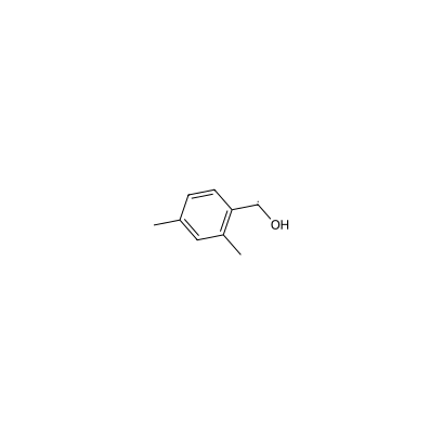 Cc1ccc([CH]O)c(C)c1